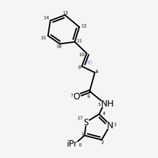 CC(C)c1cnc(NC(=O)C/C=C/c2ccccc2)s1